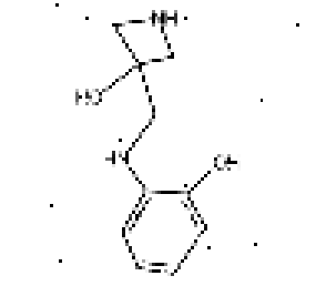 Oc1ccccc1NCC1(O)CNC1